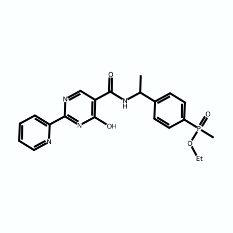 CCOP(C)(=O)c1ccc(C(C)NC(=O)c2cnc(-c3ccccn3)nc2O)cc1